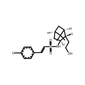 CC1(C)[C@H]2C[C@H](NS(=O)(=O)C=Cc3ccc(Cl)cc3)[C@@H](CCO)[C@@H]1C2